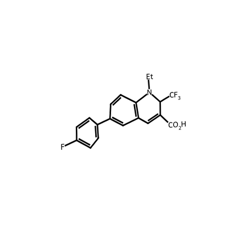 CCN1c2ccc(-c3ccc(F)cc3)cc2C=C(C(=O)O)C1C(F)(F)F